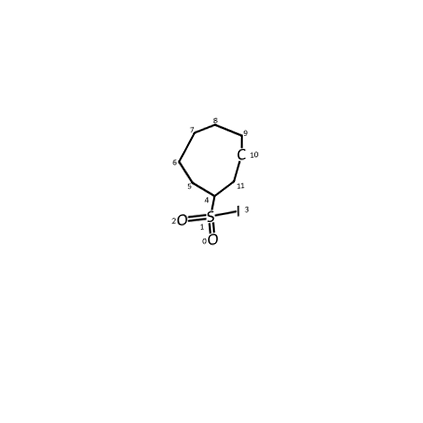 O=S(=O)(I)C1CCCCCCC1